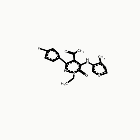 CCn1nc(-c2ccc(F)cc2)c(C(C)=O)c(Nc2cnccc2C)c1=O